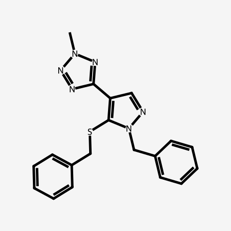 Cn1nnc(-c2cnn(Cc3ccccc3)c2SCc2ccccc2)n1